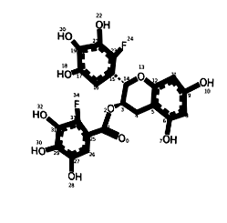 O=C(O[C@@H]1Cc2c(O)cc(O)cc2O[C@H]1c1cc(O)c(O)c(O)c1F)c1cc(O)c(O)c(O)c1F